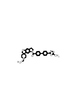 CCN1CCC2(CC1)COc1cc3c(cc12)N(C(=O)c1ccc(-c2ccc(-c4nnc(C)o4)cc2)cc1)CC3